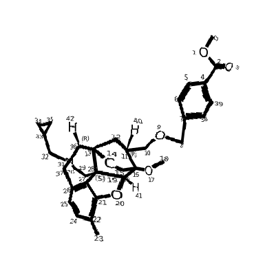 COC(=O)c1ccc(COC[C@H]2CC34CCC2(OC)[C@@H]2Oc5c(C)ccc6c5[C@@]23CCN(CC2CC2)[C@@H]4C6)cc1